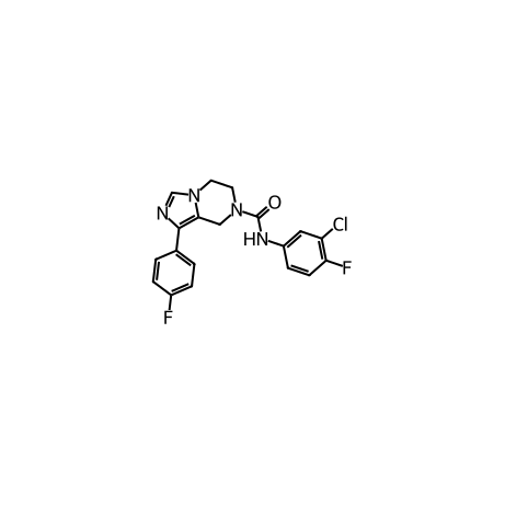 O=C(Nc1ccc(F)c(Cl)c1)N1CCn2cnc(-c3ccc(F)cc3)c2C1